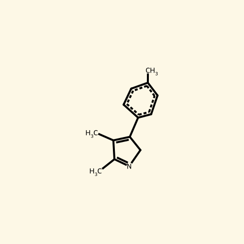 CC1=NCC(c2ccc(C)cc2)=C1C